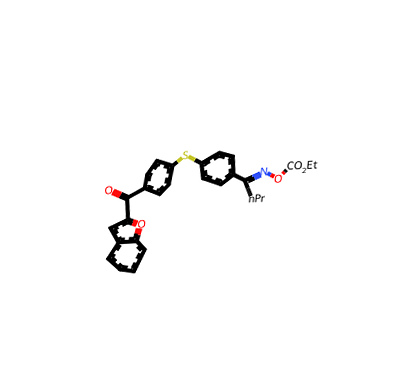 CCCC(=NOC(=O)OCC)c1ccc(Sc2ccc(C(=O)c3cc4ccccc4o3)cc2)cc1